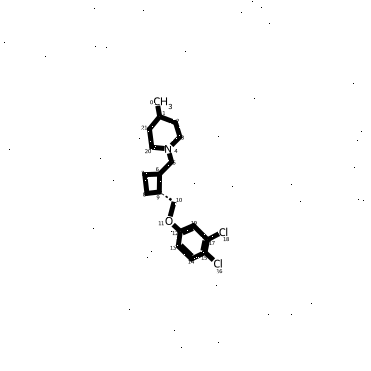 CC1CCN(CC2CC[C@H]2COc2ccc(Cl)c(Cl)c2)CC1